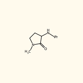 CC(C)NC1CCN(C)C1=O